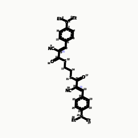 CCN(CC)c1ccc(/C=C(\C#N)C(=O)SCCSC(=O)/C(C#N)=C/c2ccc(N(CC)CC)cc2)cc1